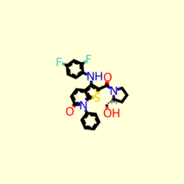 O=C(c1sc2c(ccc(=O)n2-c2ccccc2)c1Nc1ccc(F)cc1F)N1CCC[C@@H]1CO